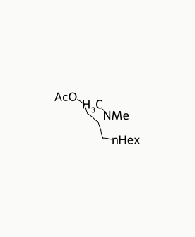 CCCCCCCCCCOC(C)=O.CNC